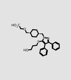 O=C(O)COC[C@H]1CC[C@@H](Cn2nc(-c3ccccc3)c(-c3ccccc3)c2SCCCO)CC1